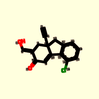 C#CC12C/C(=C\O)C(=O)C=C1c1c(Cl)cccc1C2